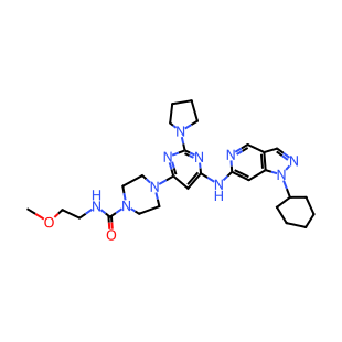 COCCNC(=O)N1CCN(c2cc(Nc3cc4c(cn3)cnn4C3CCCCC3)nc(N3CCCC3)n2)CC1